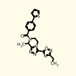 CCc1noc(-c2nnc3n2CCN(C(=O)c2ccc(-c4cccs4)cc2)C3C)n1